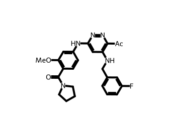 COc1cc(Nc2cc(NCc3cccc(F)c3)c(C(C)=O)nn2)ccc1C(=O)N1CCCC1